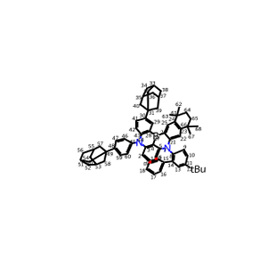 Cc1cc2c3c(c1)N(c1ccc(C(C)(C)C)cc1-c1ccccc1)c1cc4c(cc1B3c1cc(C35CC6CC(CC(C6)C3)C5)ccc1N2c1ccc(C23CC5CC(CC(C5)C2)C3)cc1)C(C)(C)CCC4(C)C